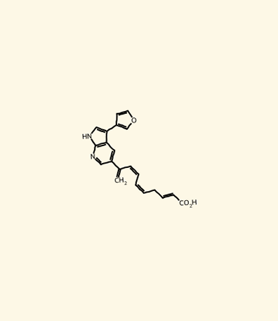 C=C(/C=C\C=C/C/C=C/C(=O)O)c1cnc2[nH]cc(-c3ccoc3)c2c1